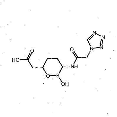 O=C(O)C[C@@H]1CC[C@H](NC(=O)Cn2cnnn2)B(O)O1